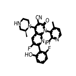 Cc1ccnc(C(C)C)c1-n1c(=O)c(C#N)c(N2CCNC[C@@H]2C)c2cc(F)c(-c3c(O)cccc3F)nc21